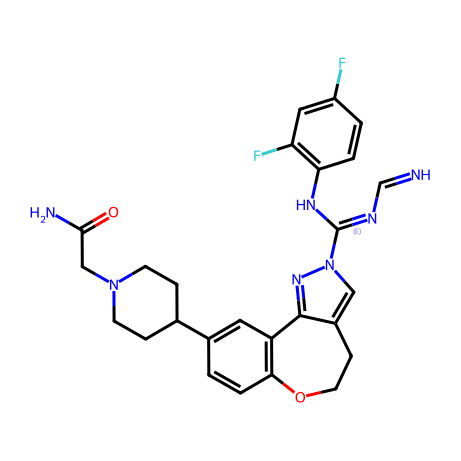 N=C/N=C(\Nc1ccc(F)cc1F)n1cc2c(n1)-c1cc(C3CCN(CC(N)=O)CC3)ccc1OCC2